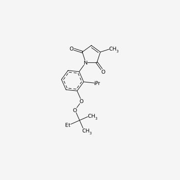 CCC(C)(C)OOc1cccc(N2C(=O)C=C(C)C2=O)c1C(C)C